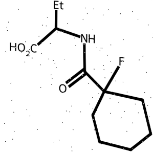 CCC(NC(=O)C1(F)CCCCC1)C(=O)O